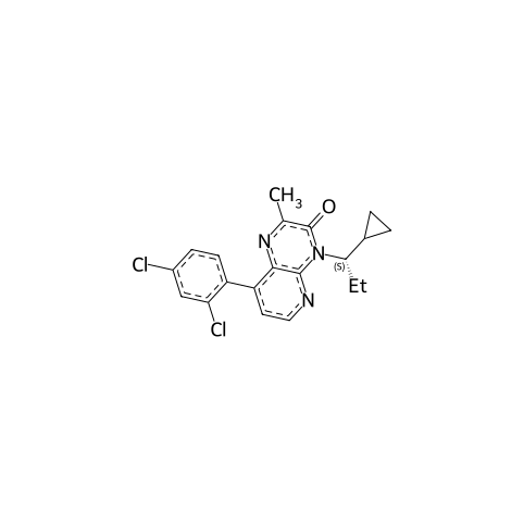 CC[C@@H](C1CC1)n1c(=O)c(C)nc2c(-c3ccc(Cl)cc3Cl)ccnc21